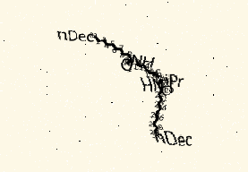 CCCCCCCCCCCCCCCCCCCC(=O)NCCCC[C@H](NC(=O)CCCCCCCCCCCCCCCCCCC)C(C)C